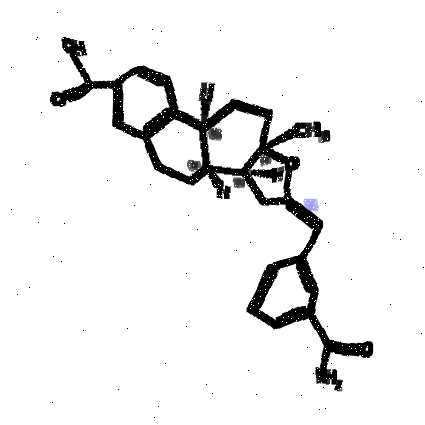 C[C@]12CC[C@@H]3c4ccc(C(=O)O)cc4CC[C@H]3[C@@H]1C/C(=C\c1cccc(C(N)=O)c1)O2